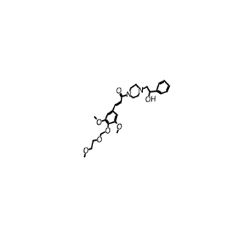 COCCOCOc1c(OC)cc(C=CC(=O)N2CCN(CC(O)c3ccccc3)CC2)cc1OC